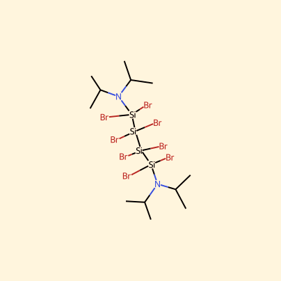 CC(C)N(C(C)C)[Si](Br)(Br)[Si](Br)(Br)[Si](Br)(Br)[Si](Br)(Br)N(C(C)C)C(C)C